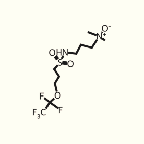 C[N+](C)([O-])CCCNS(=O)(=O)CCCOC(F)(F)C(F)(F)F